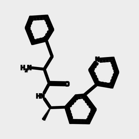 C[C@H](NC(=O)C(N)Cc1ccccc1)c1cccc(-c2cccnc2)c1